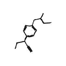 C#CC(CC)c1ccc(CC(C)CC)cc1